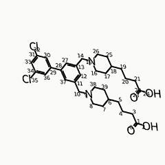 O=C(O)CCCC1CCN(Cc2cc(CN3CCC(CCCC(=O)O)CC3)cc(-c3cc(Cl)cc(Cl)c3)c2)CC1